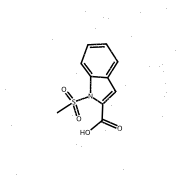 CS(=O)(=O)n1c(C(=O)O)cc2ccccc21